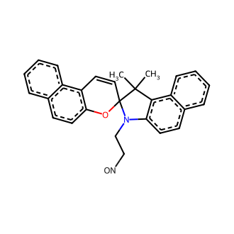 CC1(C)c2c(ccc3ccccc23)N(CCN=O)C12C=Cc1c(ccc3ccccc13)O2